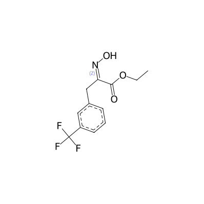 CCOC(=O)/C(Cc1cccc(C(F)(F)F)c1)=N\O